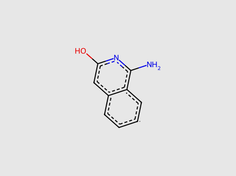 Nc1nc(O)cc2cc[c]cc12